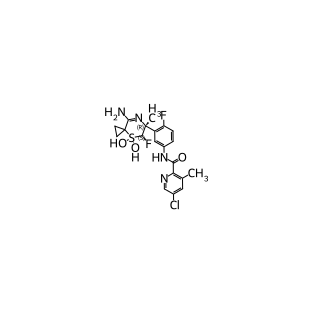 Cc1cc(Cl)cnc1C(=O)Nc1ccc(F)c([C@@]2(C)N=C(N)C3(CC3)S(O)(O)[C@@H]2F)c1